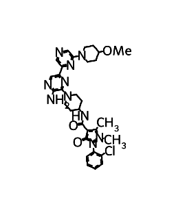 COC1CCN(c2cncc(-c3cnc(N)c(N4CCC(NC(=O)c5c(C)n(C)n(-c6ccccc6Cl)c5=O)CC4)n3)n2)CC1